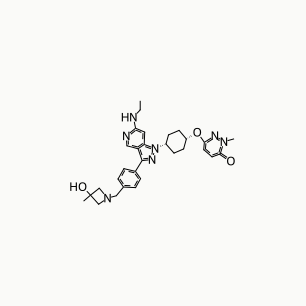 CCNc1cc2c(cn1)c(-c1ccc(CN3CC(C)(O)C3)cc1)nn2[C@H]1CC[C@@H](Oc2ccc(=O)n(C)n2)CC1